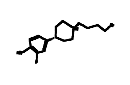 CCCc1ccc([C@H]2CC[Si@H](CCCCBr)CC2)cc1F